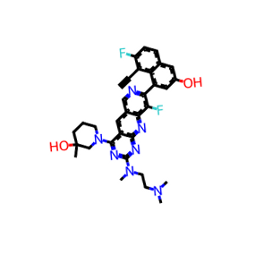 C#Cc1c(F)ccc2cc(O)cc(-c3ncc4cc5c(N6CCCC(C)(O)C6)nc(N(C)CCN(C)C)nc5nc4c3F)c12